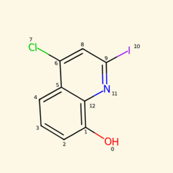 Oc1cccc2c(Cl)cc(I)nc12